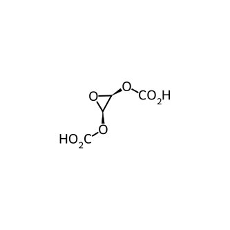 O=C(O)O[C@@H]1O[C@@H]1OC(=O)O